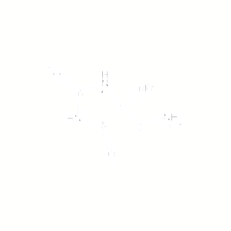 CCCC1(CN)NC(=O)NC1=O